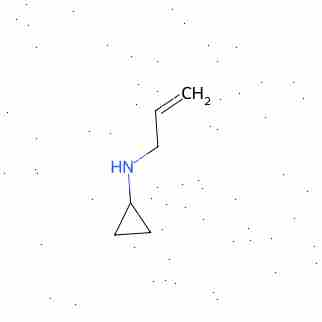 C=CCNC1CC1